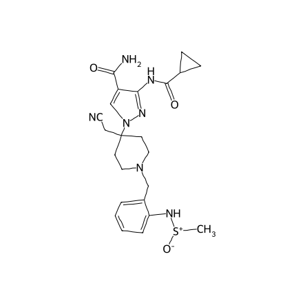 C[S+]([O-])Nc1ccccc1CN1CCC(CC#N)(n2cc(C(N)=O)c(NC(=O)C3CC3)n2)CC1